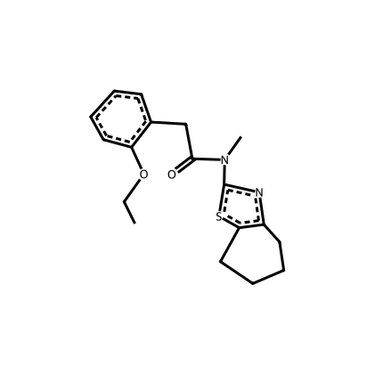 CCOc1ccccc1CC(=O)N(C)c1nc2c(s1)CCCC2